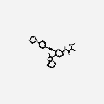 CNC(C)C(=O)Nc1ccc(-c2c(C)nc3ccccn23)c(C#Cc2ccc(-n3cncn3)cc2)n1